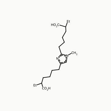 CCC(CCCCc1cn(C)c(CCCCC(CC)C(=O)O)n1)C(=O)O